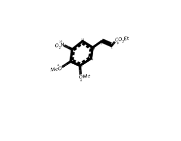 CCOC(=O)C=Cc1cc(OC)c(OC)c([N+](=O)[O-])c1